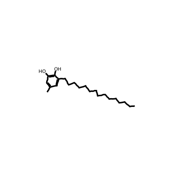 CCCCCCCCCCCCCCCc1cc(C)cc(O)c1O